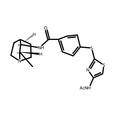 CC(=O)Nc1csc(Sc2ccc(C(=O)N[C@@H]3C4CCN(CC4)[C@H]3C)cc2)n1